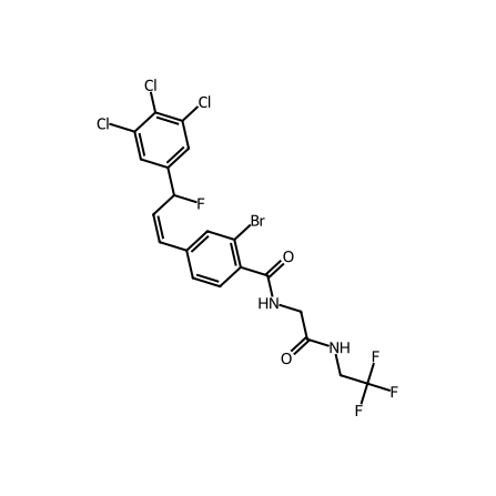 O=C(CNC(=O)c1ccc(/C=C\C(F)c2cc(Cl)c(Cl)c(Cl)c2)cc1Br)NCC(F)(F)F